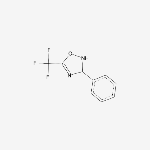 FC(F)(F)C1=NC(c2ccccc2)NO1